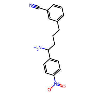 N#Cc1cccc(CCCC(N)c2ccc([N+](=O)[O-])cc2)c1